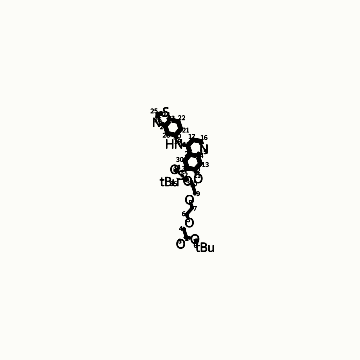 CC(C)(C)OC(=O)COCCOCCOc1cc2nccc(Nc3ccc4scnc4c3)c2cc1S(=O)(=O)C(C)(C)C